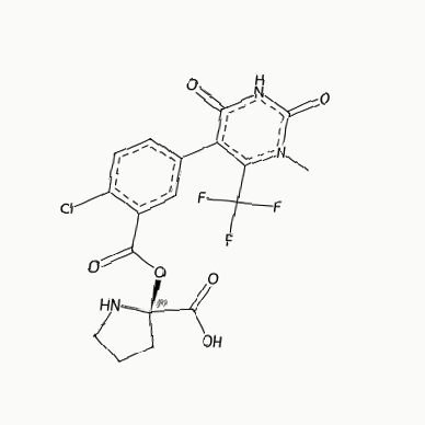 Cn1c(C(F)(F)F)c(-c2ccc(Cl)c(C(=O)O[C@@]3(C(=O)O)CCCN3)c2)c(=O)[nH]c1=O